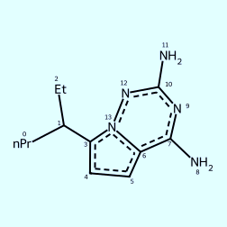 CCCC(CC)c1ccc2c(N)nc(N)nn12